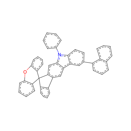 c1ccc(-n2c3ccc(-c4cccc5ccccc45)cc3c3cc4c(cc32)C2(c3ccccc3Oc3ccccc32)c2ccccc2-4)cc1